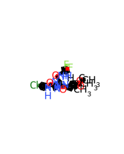 Cc1c(C(=O)OC(C)(C)C)ccc2c1CC[C@@H]2NC(=O)c1cc(C(=O)NCc2ccc(F)c(F)c2)nc2c(C(=O)Nc3ccc(Cl)cc3)cnn12